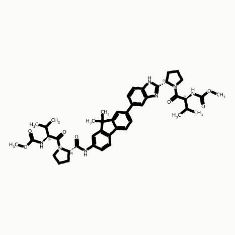 COC(=O)N[C@H](C(=O)N1CCC[C@H]1C(=O)Nc1ccc2c(c1)C(C)(C)c1cc(-c3ccc4[nH]c([C@@H]5CCCN5C(=O)[C@@H](NC(=O)OC)C(C)C)nc4c3)ccc1-2)C(C)C